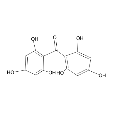 O=C(c1c(O)cc(O)cc1O)c1c(O)cc(O)cc1O